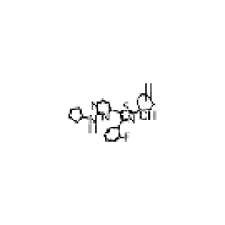 OC1(c2nc(-c3ccccc3F)c(-c3ccnc(NC4CCCC4)n3)s2)CCNCC1